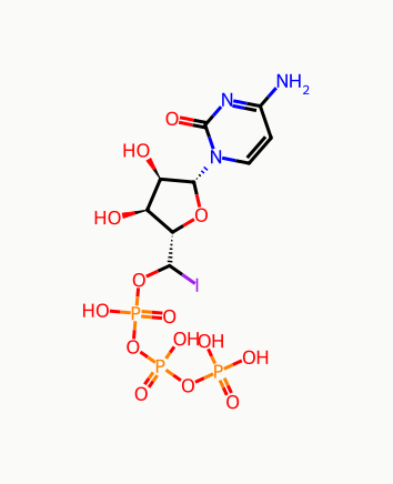 Nc1ccn([C@@H]2O[C@H](C(I)OP(=O)(O)OP(=O)(O)OP(=O)(O)O)[C@@H](O)[C@H]2O)c(=O)n1